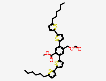 CCCCCCc1ccc(-c2ccc(-c3cc(C(=O)OC)c(-c4ccc(-c5ccc(CCCCCC)s5)s4)cc3COC=O)s2)s1